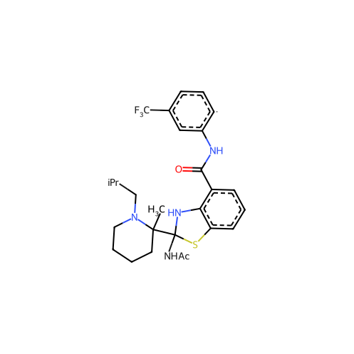 CC(=O)NC1(C2(C)CCCCN2CC(C)C)Nc2c(cccc2C(=O)Nc2[c]ccc(C(F)(F)F)c2)S1